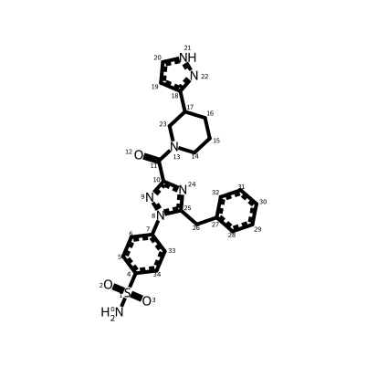 NS(=O)(=O)c1ccc(-n2nc(C(=O)N3CCCC(c4cc[nH]n4)C3)nc2Cc2ccccc2)cc1